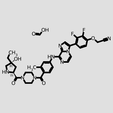 CC[C@]1(O)CN[C@H](C(=O)N2CCN(C(=O)c3ccc(Nc4nccn5c(-c6ccc(OCC#N)c(F)c6F)cnc45)cc3C)CC2)C1.O=CO